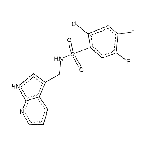 O=S(=O)(NCc1c[nH]c2ncccc12)c1cc(F)c(F)cc1Cl